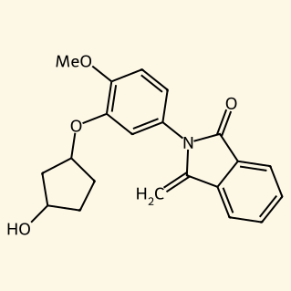 C=C1c2ccccc2C(=O)N1c1ccc(OC)c(OC2CCC(O)C2)c1